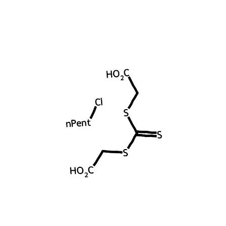 CCCCCCl.O=C(O)CSC(=S)SCC(=O)O